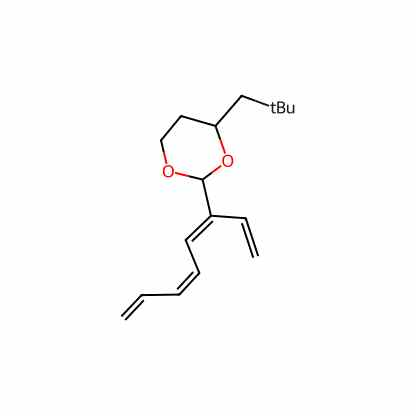 C=C/C=C\C=C(/C=C)C1OCCC(CC(C)(C)C)O1